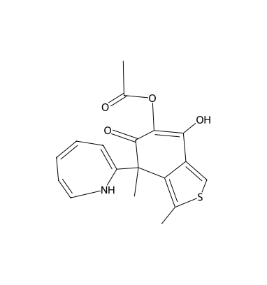 CC(=O)OC1=C(O)c2csc(C)c2C(C)(C2=CC=CC=CN2)C1=O